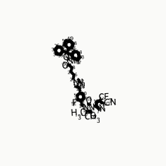 CC1(C)C(=O)N(c2cnc(C#N)c(C(F)(F)F)c2)C(=O)N1Cc1ccc(-c2cn(CCCCC(=O)NOC(c3ccccc3)(c3ccccc3)c3ccccc3)nn2)cc1F